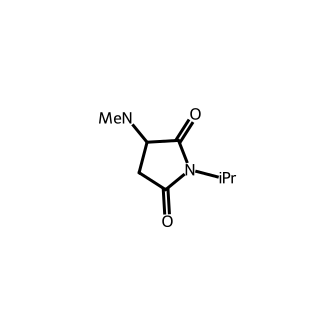 CNC1CC(=O)N(C(C)C)C1=O